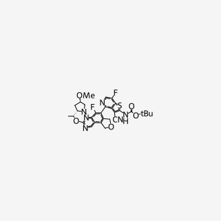 CO[C@@H]1C[C@@H](C(C)Oc2ncc3c4c(c(-c5ncc(F)c6sc(NC(=O)OC(C)(C)C)c(C#N)c56)c(F)c3n2)COC4)N(C)C1